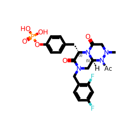 CC(=O)N1[C@H]2CN(Cc3ccc(F)cc3F)C(=O)[C@H](Cc3ccc(OP(=O)(O)O)cc3)N2C(=O)CN1C